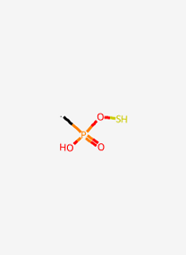 [CH2]P(=O)(O)OS